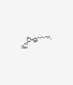 FC(F)(F)CCCCCc1cn(-c2cncc(OC[C@@H]3CCN3)c2)nn1